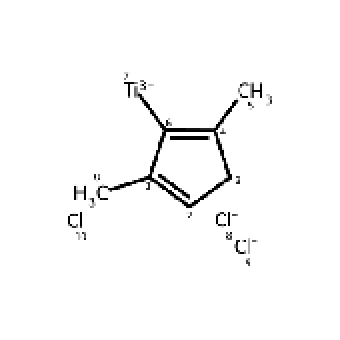 CC1=CCC(C)=[C]1[Ti+3].[Cl-].[Cl-].[Cl-]